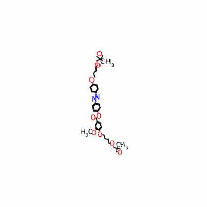 COc1cc(C(=O)Oc2ccc(/N=N/c3ccc(OCCCCOCC4(C)COC4)cc3)cc2)ccc1OCCCCOCC1(C)COC1